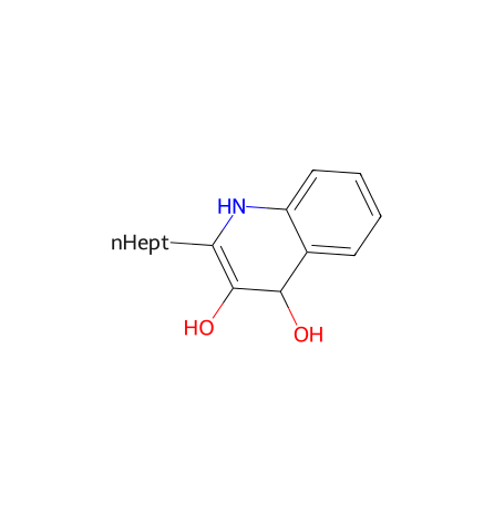 CCCCCCCC1=C(O)C(O)c2ccccc2N1